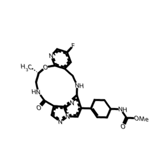 COC(=O)NC1CC=C(c2cn3ncc4c3nc2NCc2cc(F)cnc2O[C@@H](C)CNC4=O)CC1